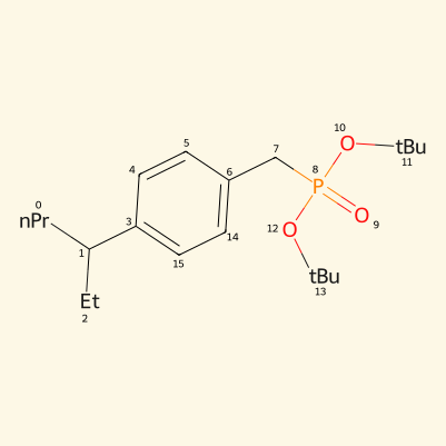 CCCC(CC)c1ccc(CP(=O)(OC(C)(C)C)OC(C)(C)C)cc1